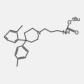 Cc1ccc(C2(c3ccccc3C)CCN(CCCNC(=O)OC(C)(C)C)CC2)cc1